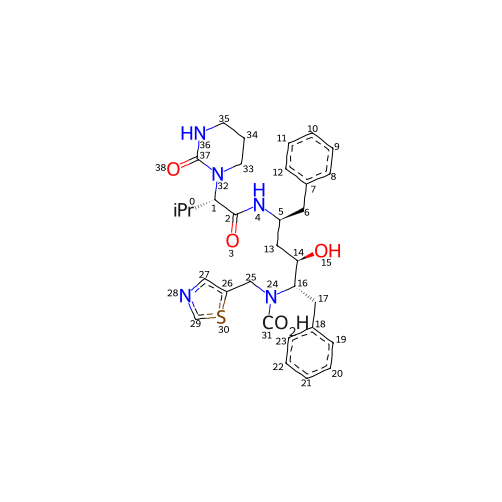 CC(C)[C@@H](C(=O)N[C@@H](Cc1ccccc1)C[C@@H](O)[C@H](Cc1ccccc1)N(Cc1cncs1)C(=O)O)N1CCCNC1=O